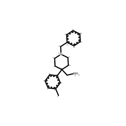 Cc1cccc(C2(CN)CCN(Cc3ccccc3)CC2)c1